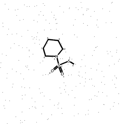 CSS(=O)(=O)N1CCCCC1